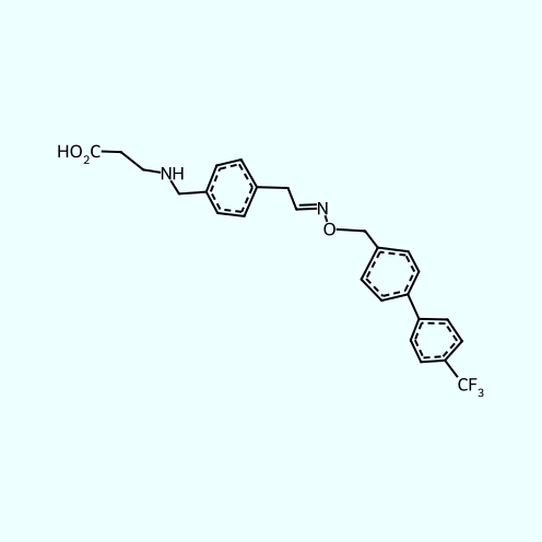 O=C(O)CCNCc1ccc(CC=NOCc2ccc(-c3ccc(C(F)(F)F)cc3)cc2)cc1